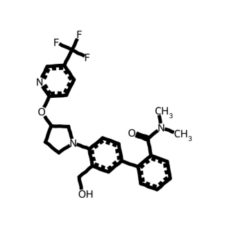 CN(C)C(=O)c1ccccc1-c1ccc(N2CCC(Oc3ccc(C(F)(F)F)cn3)C2)c(CO)c1